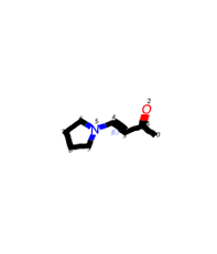 CC(=O)/C=C/N1CCCC1